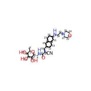 CC1O[C@H](CNC(=O)/C(C#N)=C/c2ccc3cc(NCCN4CCOCC4)ccc3c2)[C@@H](O)[C@H](O)[C@H]1O